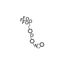 O=C(CCc1ccc(OCc2ccc(CN3CCc4ccccc4C3)cc2)cc1)OC(=O)C(F)(F)F